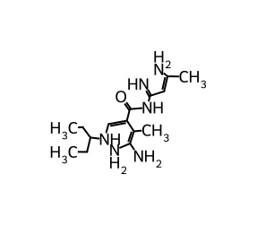 CCC(CC)N/C=C(/C(=O)NC(=N)/C=C(/C)N)C(C)=C(N)N